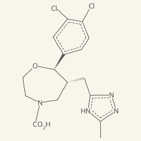 Cc1nnc(C[C@@H]2CN(C(=O)O)CCO[C@H]2c2ccc(Cl)c(Cl)c2)[nH]1